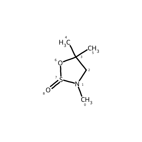 CN1CC(C)(C)OS1=O